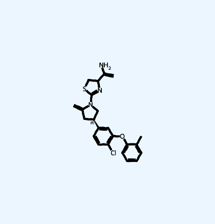 C=C(N)C1CSC(N2C[C@@H](c3ccc(Cl)c(Oc4ccccc4C)c3)CC2=C)=N1